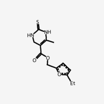 CCc1ccc(COC(=O)C2=C(C)NC(=S)NC2)o1